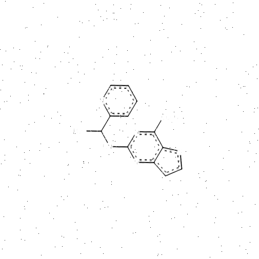 CC(Nc1nc(C(=O)O)c2sccc2n1)c1ccccn1